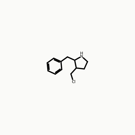 ClCC1CCNC1Cc1ccccc1